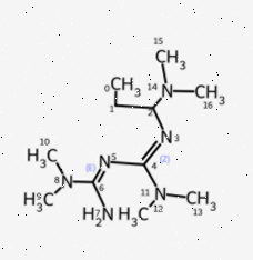 CCC(/N=C(\N=C(/N)N(C)C)N(C)C)N(C)C